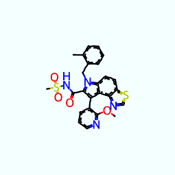 COc1ncccc1-c1c(C(=O)NS(C)(=O)=O)n(Cc2ccccc2C)c2ccc3scnc3c12